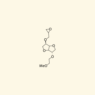 COCCO[C@H]1COC2C1OC[C@H]2OCC1CO1